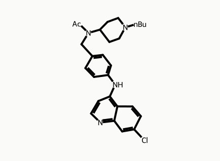 CCCCN1CCC(N(Cc2ccc(Nc3ccnc4cc(Cl)ccc34)cc2)C(C)=O)CC1